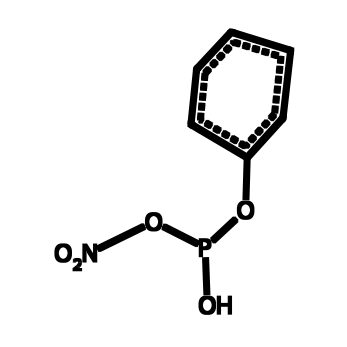 O=[N+]([O-])OP(O)Oc1ccccc1